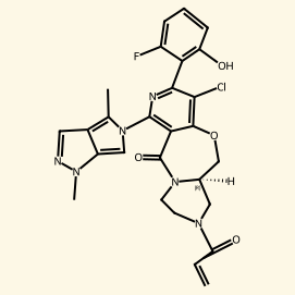 C=CC(=O)N1CCN2C(=O)c3c(-n4cc5c(cnn5C)c4C)nc(-c4c(O)cccc4F)c(Cl)c3OC[C@H]2C1